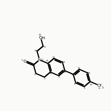 O=C1CCc2cc(-c3ccc(C(F)(F)F)cc3)ccc2N1CCO